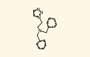 c1ccc(CN(CCn2ccnn2)Cc2ccccc2)cc1